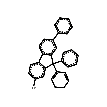 Brc1ccc2c(c1)C(C1=CCCC=C1)(c1ccccc1)c1cc(-c3ccccc3)ccc1-2